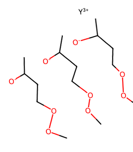 COOCCC(C)[O-].COOCCC(C)[O-].COOCCC(C)[O-].[Y+3]